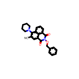 N#Cc1cc2c3c(cccc3c1N1CCCCC1)C(=O)N(OCc1ccccc1)C2=O